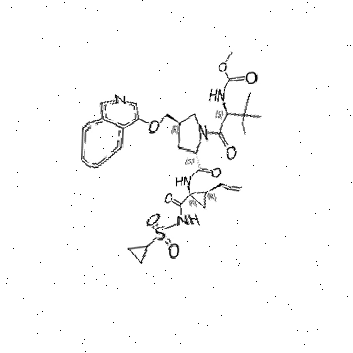 C=C[C@H]1C[C@]1(NC(=O)[C@@H]1C[C@@H](COc2cncc3ccccc23)CN1C(=O)[C@@H](NC(=O)OC)C(C)(C)C)C(=O)NS(=O)(=O)C1CC1